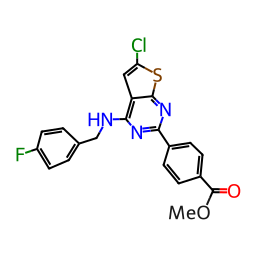 COC(=O)c1ccc(-c2nc(NCc3ccc(F)cc3)c3cc(Cl)sc3n2)cc1